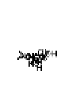 CCCN(CCC)c1ccc(/C(C)=C(\C#N)S(=O)(=O)N[C@H]2CO[C@H](CO)[C@@H](O)[C@@H]2O)cc1